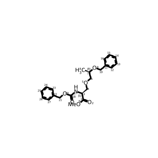 COC(=O)[C@H](COC[C@@H](C)OCc1ccccc1)NC(=O)OCc1ccccc1